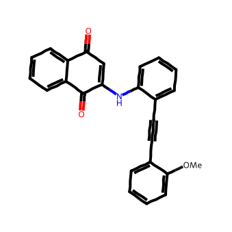 COc1ccccc1C#Cc1ccccc1NC1=CC(=O)c2ccccc2C1=O